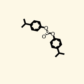 CC(C)c1ccc(OS(=O)Oc2ccc(C(C)C)cc2)cc1